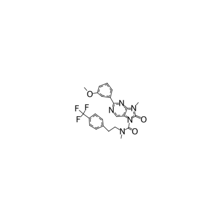 COc1cccc(-c2ncc3c(n2)n(C)c(=O)n3C(=O)N(C)CCc2ccc(C(F)(F)F)cc2)c1